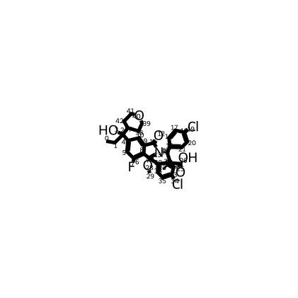 CCC(O)(c1cc(F)c2c(c1)C(=O)N([C@H](c1ccc(Cl)cc1)[C@H](C)C(=O)O)[C@@]2(OC)c1ccc(Cl)cc1)C1CCOCC1